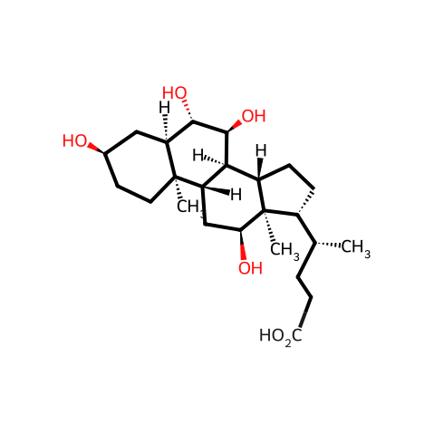 C[C@H](CCC(=O)O)[C@H]1CC[C@H]2[C@@H]3[C@H](O)[C@@H](O)[C@@H]4C[C@H](O)CC[C@]4(C)[C@H]3C[C@H](O)[C@]12C